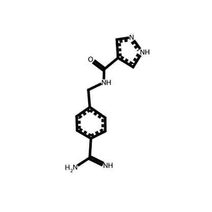 N=C(N)c1ccc(CNC(=O)c2cn[nH]c2)cc1